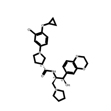 O=C(N[C@H](CN1CCCC1)[C@H](O)c1ccc2c(c1)OCCO2)[C@@H]1CCN(c2ccc(OC3CC3)c(Cl)c2)C1